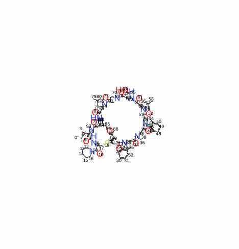 CC[C@H](C)[C@H]1C(=O)N[C@H](C(=O)N2CCCCC2)CSC2CC(=O)N(C)[C@@H](Cc3ccccc3)C(=O)N(C)[C@@H](C)C(=O)N(C)[C@@H](Cc3ccccc3)C(=O)N(C)[C@@H](CC(C)C)C(=O)N[C@@H](C(C)O)C(=O)N(C)CC(=O)N(C)[C@@H](CC(C)C)C(=O)N[C@@H](COC2(C)C)C(=O)N1C